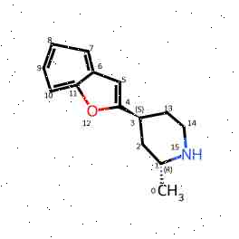 C[C@@H]1C[C@@H](c2cc3ccccc3o2)CCN1